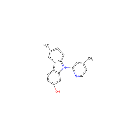 Cc1ccnc(-n2c3ccc(C)cc3c3ccc(O)cc32)c1